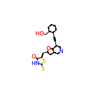 O=C1NC(=S)S/C1=C\c1cc2cncc(C#Cc3ccccc3CO)c2o1